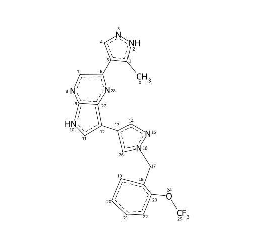 Cc1[nH]ncc1-c1cnc2[nH]cc(-c3cnn(Cc4ccccc4OC(F)(F)F)c3)c2n1